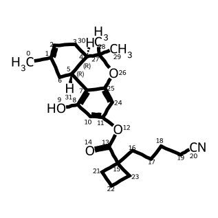 CC1=CC[C@@H]2[C@@H](C1)c1c(O)cc(OC(=O)C3(CCCCC#N)CCC3)cc1OC2(C)C